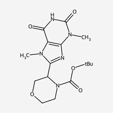 Cn1c(C2COCCN2C(=O)OC(C)(C)C)nc2c1c(=O)[nH]c(=O)n2C